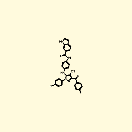 Cc1ccc(C(=O)c2nn(-c3ccc(Cl)cc3)c(Nc3ccc(NC(=O)c4ccc5cc[nH]c5c4)cc3)c2C#N)cc1